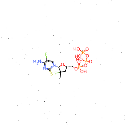 CC1(F)C[C@@H](COP(=O)(O)OP(=O)(O)OP(=O)(O)O)O[C@H]1n1cc(F)c(N)nc1=S